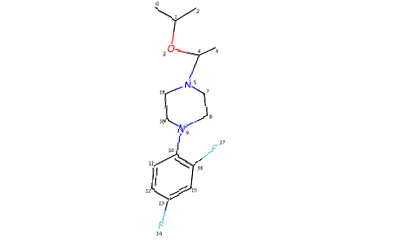 CC(C)OC(C)N1CCN(c2ccc(F)cc2F)CC1